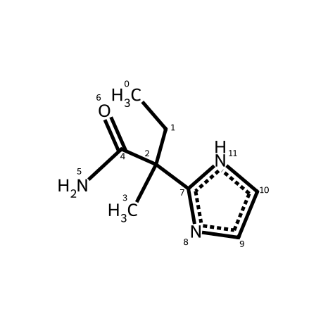 CCC(C)(C(N)=O)c1ncc[nH]1